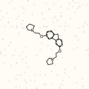 c1cc2c(cc1OCCN1CCCC1)-c1cc(OCCN3CCCC3)ccc1C2